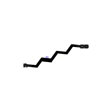 CC(C)C/C=C/CCCC=O